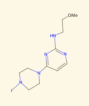 COCCNc1nccc(N2CCN(I)CC2)n1